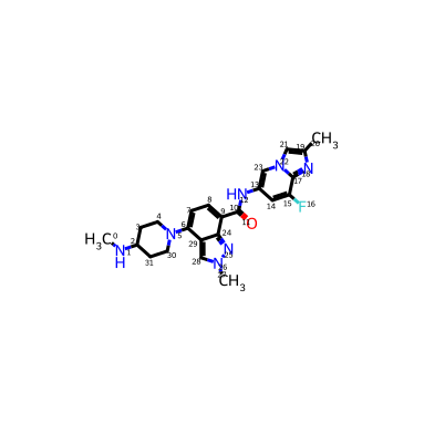 CNC1CCN(c2ccc(C(=O)Nc3cc(F)c4nc(C)cn4c3)c3nn(C)cc23)CC1